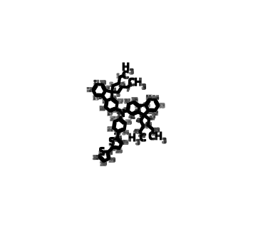 CCCCC1(CCCC)c2ccccc2-c2ccc(N(c3ccc(-c4ccc(-c5cccs5)s4)cc3)c3ccc4c(c3)C(CCCC)(CCCC)c3ccccc3-4)cc21